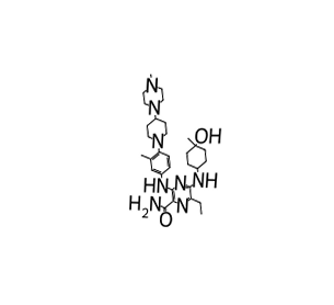 CCc1nc(C(N)=O)c(Nc2ccc(N3CCC(N4CCN(C)CC4)CC3)c(C)c2)nc1NC1CCC(C)(O)CC1